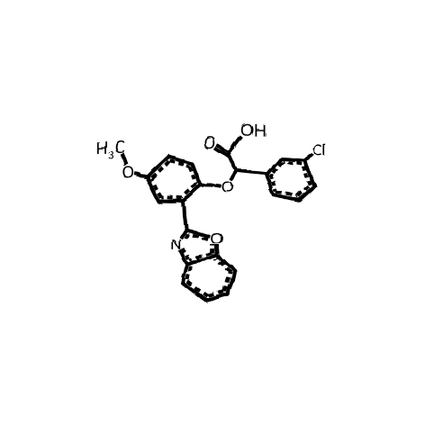 COc1ccc(OC(C(=O)O)c2cccc(Cl)c2)c(-c2nc3ccccc3o2)c1